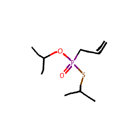 C=CCP(=O)(OC(C)C)SC(C)C